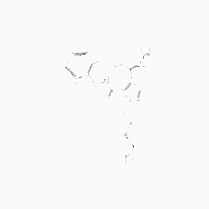 O=C1c2c(ccn2CCCCCl)C(=NO)CCN1Cc1ccccc1